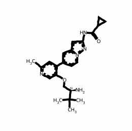 Cc1cc(-c2ccn3nc(NC(=O)C4CC4)cc3c2)c(OC[C@@H](N)C(C)(C)C)cn1